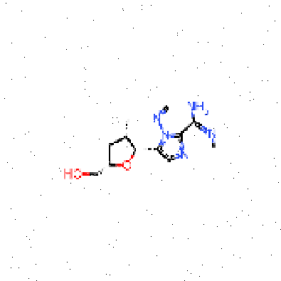 C=Nn1c([C@@H]2O[C@H](CO)C[C@@H]2C)cnc1/C(N)=N\C